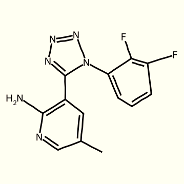 Cc1cnc(N)c(-c2nnnn2-c2cccc(F)c2F)c1